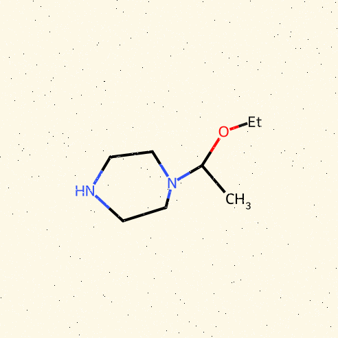 CCOC(C)N1CCNCC1